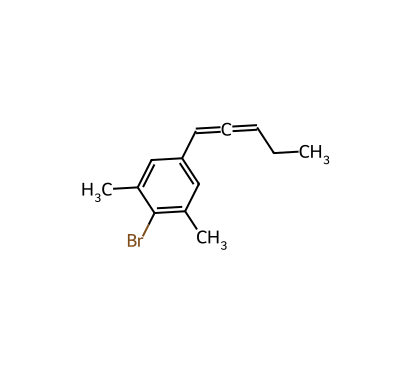 CCC=C=Cc1cc(C)c(Br)c(C)c1